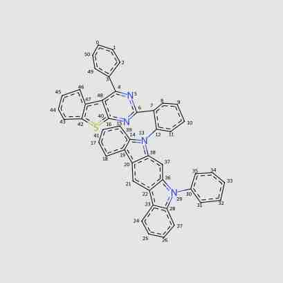 c1ccc(-c2nc(-c3ccccc3-n3c4ccccc4c4cc5c6ccccc6n(-c6ccccc6)c5cc43)nc3sc4ccccc4c23)cc1